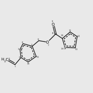 C=Cc1ccc(COC(=O)c2cccs2)cc1